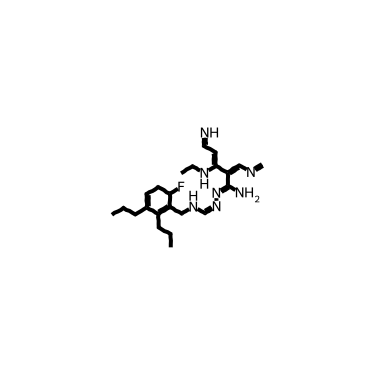 C=N/C=C(C(=C/C=N)/NCC)\C(N)=N\N=C/NCC1=C(CCC)C(CCC)=CCC1F